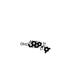 Cc1cc(C)cc(NC(=O)[C@H]2CC[C@H]3[C@@H]4CC[C@H]5OC(C=O)CC[C@]5(C)[C@H]4CC[C@]23C)c1